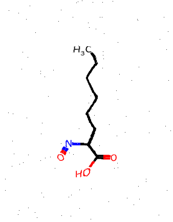 CCCCCCC(N=O)C(=O)O